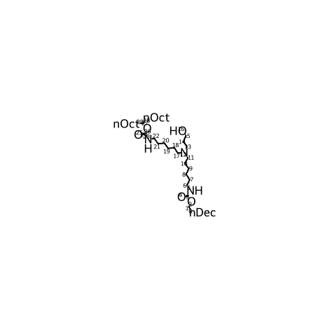 CCCCCCCCCCCOC(=O)NCCCCCCN(CCCO)CCCCCCNC(=O)OC(CCCCCCCC)CCCCCCCC